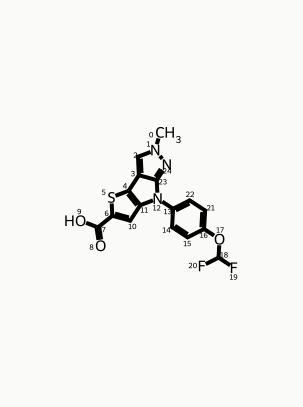 Cn1cc2c3sc(C(=O)O)cc3n(-c3ccc(OC(F)F)cc3)c2n1